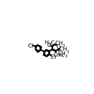 CCc1ccc(-c2ccc(Cl)cc2)cc1C1=C(OC(C)=O)C(C)(C)OC(C)(C)C1=O